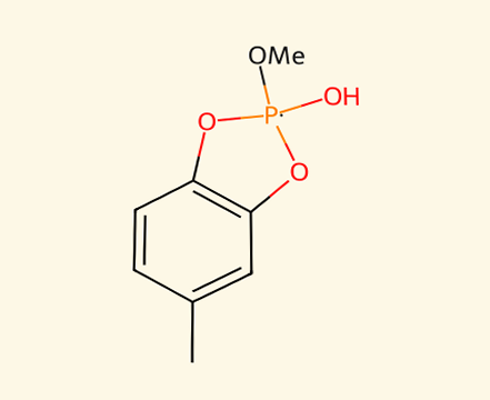 CO[P]1(O)Oc2ccc(C)cc2O1